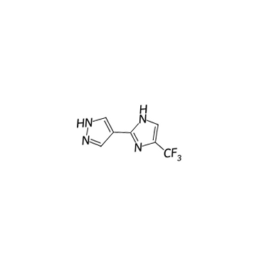 FC(F)(F)c1c[nH]c(-c2cn[nH]c2)n1